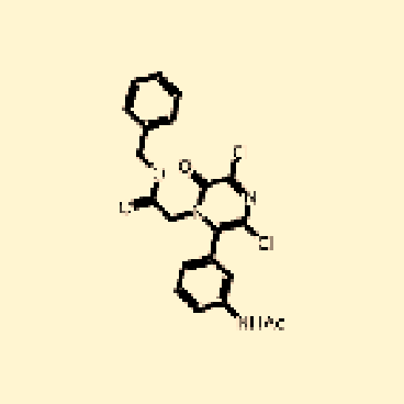 CC(=O)Nc1cccc(-c2c(Cl)nc(Cl)c(=O)n2CC(=O)OCc2ccccc2)c1